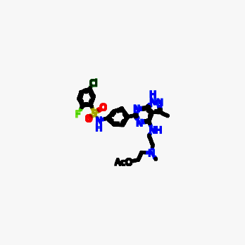 CC(=O)OCCN(C)CCNc1nc(-c2ccc(NS(=O)(=O)c3cc(Cl)ccc3F)cc2)nc2[nH]nc(C)c12